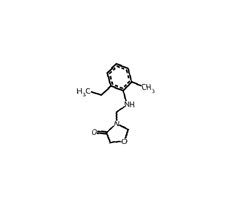 CCc1cccc(C)c1NCN1COCC1=O